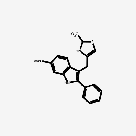 COc1ccc2c(CC3=CSC(C(=O)O)N3)c(-c3ccccc3)[nH]c2c1